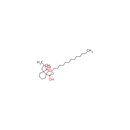 CCCCCCCCCCCCCCCC1(C(=O)O)CCCCC1(CC(C)C)C(=O)O